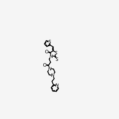 O=C(CCN1C(=O)/C(=C\c2cccs2)SC1=S)N1CCN(CCc2ccccn2)CC1